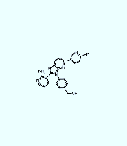 CC(C)c1ccc(-c2ccc3nc(-c4cccnc4N)n(-c4ccc(CO)cc4)c3n2)cn1